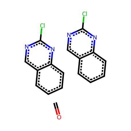 C=O.Clc1ncc2ccccc2n1.Clc1ncc2ccccc2n1